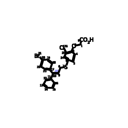 O=C(O)COc1ccc(SC/C=C(/c2ccccc2)c2ccc(Br)cc2)cc1Cl